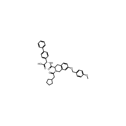 COc1ccc(COc2ccc3c(c2)CN(C(=O)CC2CCCC2)C(C(=O)N[C@H](C(=O)O)c2ccc(-c4ccccc4)cc2)C3)cc1